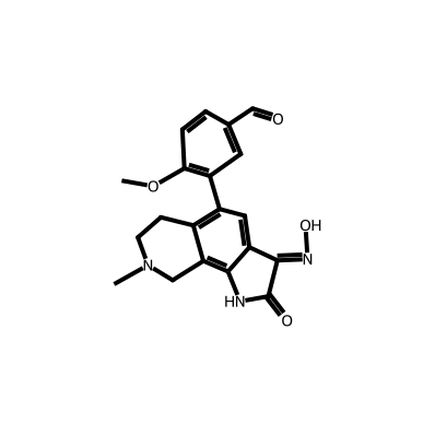 COc1ccc(C=O)cc1-c1cc2c(c3c1CCN(C)C3)NC(=O)/C2=N/O